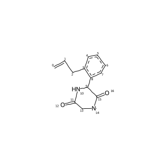 C=CCc1ccccc1C1NC(=O)C[N]C1=O